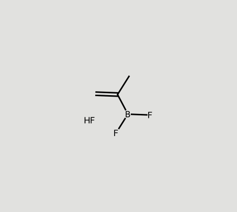 C=C(C)B(F)F.F